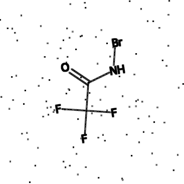 O=C(NBr)C(F)(F)F